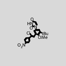 COc1c(C=C(Cl)c2ccc([N+](=O)[O-])cc2)cc(-n2ccc(=O)[nH]c2=O)cc1C(C)(C)C